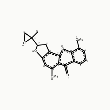 COc1cccc2c(=O)c3c(OC)cc4c(c3oc12)CC(C1(C)CO1)O4